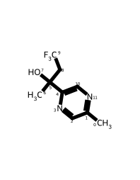 Cc1cnc(C(C)(O)CC(F)(F)F)cn1